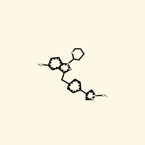 Cn1cc(-c2ccc(Cc3nn(C4CCCCO4)c4ccc(N)cc34)cc2)cn1